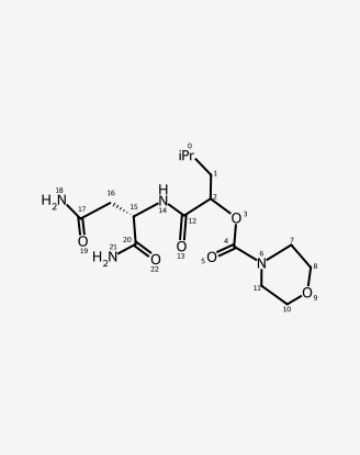 CC(C)CC(OC(=O)N1CCOCC1)C(=O)N[C@@H](CC(N)=O)C(N)=O